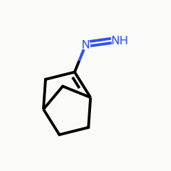 N=NC1=C2CCC(C2)C1